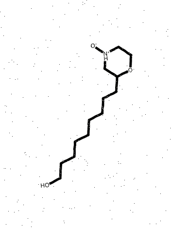 [O-][NH+]1CCOC(CCCCCCCCCO)C1